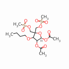 CCCCOC1C(OC(C)=O)[C@H](OC(C)=O)OC1(COS(C)(=O)=O)COS(C)(=O)=O